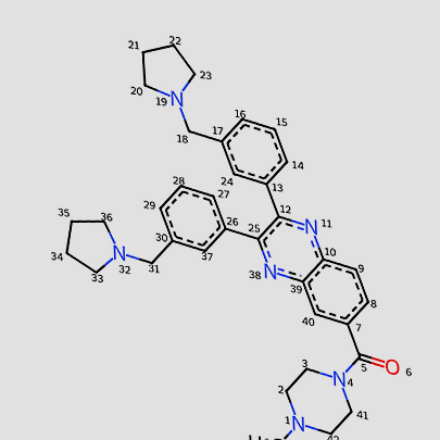 CN1CCN(C(=O)c2ccc3nc(-c4cccc(CN5CCCC5)c4)c(-c4cccc(CN5CCCC5)c4)nc3c2)CC1